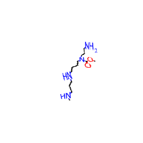 CNCCCNCCCCN(CCCN)C(=O)OC